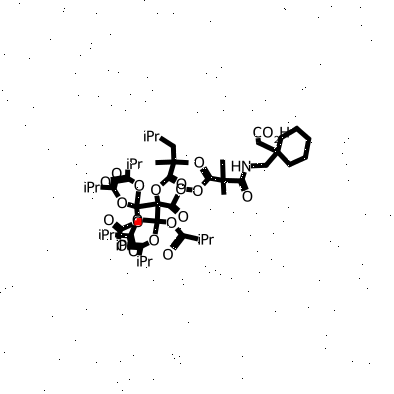 CC(C)CC(C)(C)C(=O)OC(C(=O)OOC(=O)C(C)(C)C(=O)NCC1(CC(=O)O)CCCCC1)(C(OC(=O)C(C)C)(OC(=O)C(C)C)OC(=O)C(C)C)C(OC(=O)C(C)C)(OC(=O)C(C)C)OC(=O)C(C)C